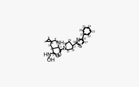 O=C(NO)C1CC2(CC2)CNC1C(=O)N1CCC(c2nc(-c3ccccc3)cs2)CC1